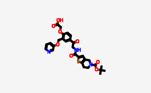 CC(C)(C)OC(=O)N1CCc2sc(C(=O)NCC(=O)c3ccc(OCC(=O)O)c(COc4cccnc4)c3)cc2C1